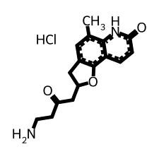 Cc1cc2c(c3ccc(=O)[nH]c13)OC(CC(=O)CCN)C2.Cl